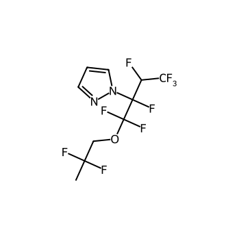 CC(F)(F)COC(F)(F)C(F)(C(F)C(F)(F)F)n1cccn1